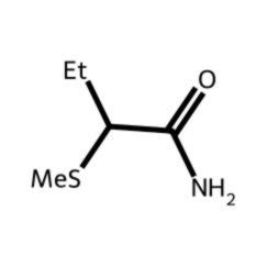 CCC(SC)C(N)=O